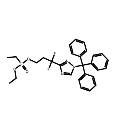 CCOP(=O)(CC)OCCC(F)(F)c1ncn(C(c2ccccc2)(c2ccccc2)c2ccccc2)n1